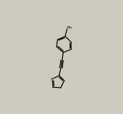 CC(C)(C)c1ccc(C#CC2=CCC=N2)cc1